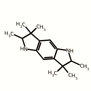 CC1Nc2cc3c(cc2C1(C)C)NC(C)C3(C)C